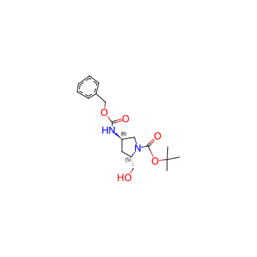 CC(C)(C)OC(=O)N1C[C@H](NC(=O)OCc2ccccc2)C[C@H]1CO